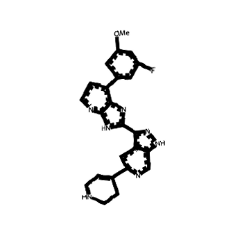 COc1cc(F)cc(-c2ccnc3[nH]c(-c4n[nH]c5cnc(C6=CCNCC6)cc45)nc23)c1